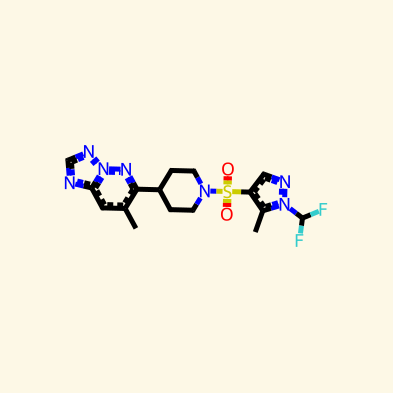 Cc1cc2ncnn2nc1C1CCN(S(=O)(=O)c2cnn(C(F)F)c2C)CC1